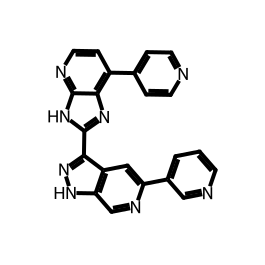 c1cncc(-c2cc3c(-c4nc5c(-c6ccncc6)ccnc5[nH]4)n[nH]c3cn2)c1